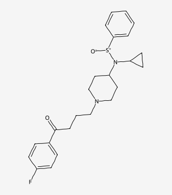 O=C(CCCN1CCC(N(C2CC2)[S+]([O-])c2ccccc2)CC1)c1ccc(F)cc1